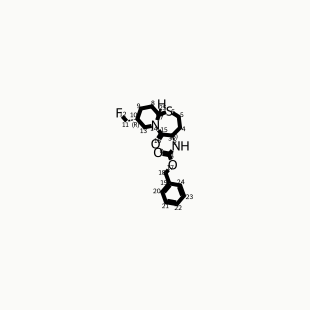 O=C(N[C@H]1CCS[C@H]2CC[C@@H](CF)CN2C1=O)OCc1ccccc1